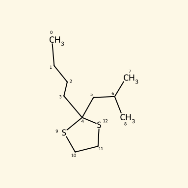 CCCCC1(CC(C)C)SCCS1